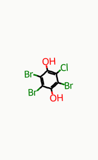 Oc1c(Cl)c(Br)c(O)c(Br)c1Br